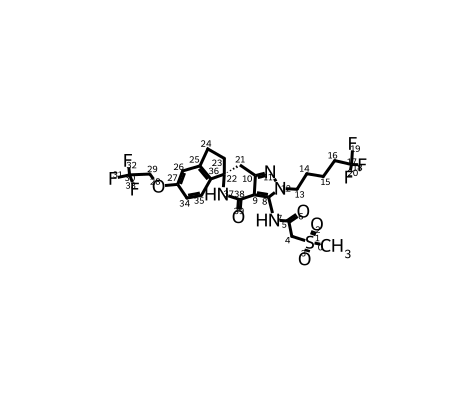 CS(=O)(=O)CC(=O)Nc1c2c(nn1CCCCC(F)(F)F)C[C@]1(CCc3cc(OCC(F)(F)F)ccc31)NC2=O